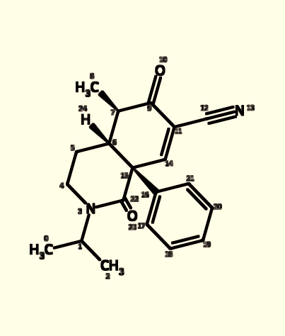 CC(C)N1CC[C@@H]2[C@@H](C)C(=O)C(C#N)=C[C@]2(c2ccccc2)C1=O